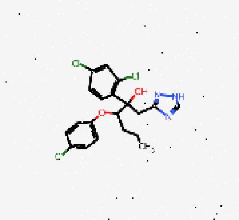 CCCC(Oc1ccc(Cl)cc1)C(O)(Cc1nc[nH]n1)c1ccc(Cl)cc1Cl